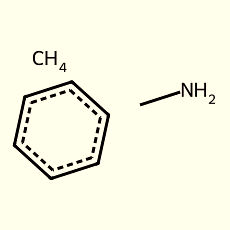 C.CN.c1ccccc1